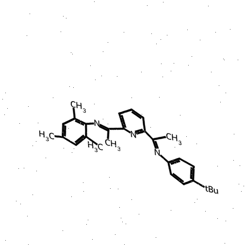 C/C(=N\c1ccc(C(C)(C)C)cc1)c1cccc(/C(C)=N/c2c(C)cc(C)cc2C)n1